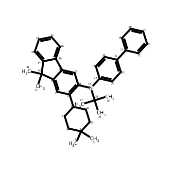 CC1(C)CCC(c2cc3c(cc2N(c2ccc(-c4ccccc4)cc2)C(C)(C)C)-c2ccccc2C3(C)C)CC1